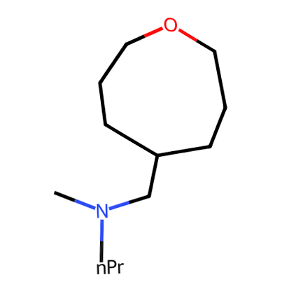 CCCN(C)CC1CCCOCCC1